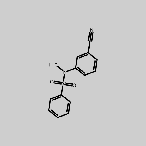 CN(c1cccc(C#N)c1)S(=O)(=O)c1ccccc1